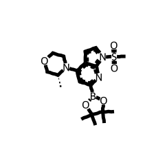 C[C@@H]1COCCN1c1cc(B2OC(C)(C)C(C)(C)O2)nc2c1ccn2S(C)(=O)=O